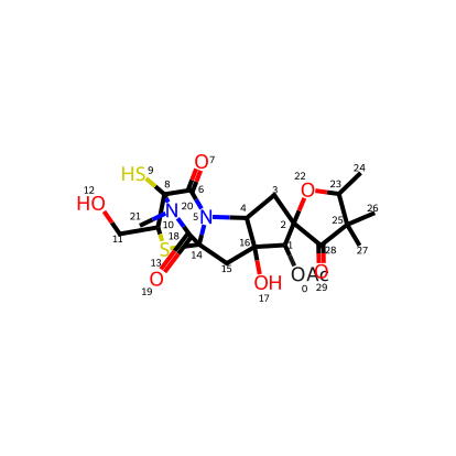 CC(=O)OC1C2(CC3N4C(=O)C5(S)C(CO)SC4(CC31O)C(=O)N5C)OC(C)C(C)(C)C2=O